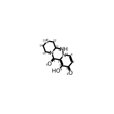 O=C1c2c(O)c(=O)ccn2NC2CSCCN12